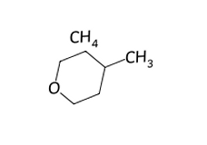 C.CC1CCOCC1